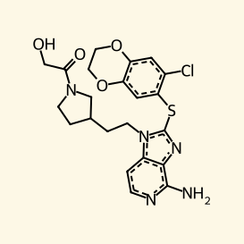 Nc1nccc2c1nc(Sc1cc3c(cc1Cl)OCCO3)n2CCC1CCN(C(=O)CO)C1